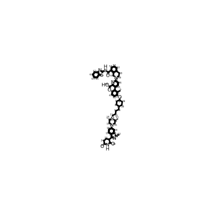 Cc1c(OC2CCC(CCCCN3[C@@H](C)CN(c4ccc5c(C6CCC(=O)NC6=O)nn(C)c5c4)C[C@@H]3C)CC2)cccc1-c1ccc(N2CCc3cccc(C(=O)Nc4nc5ccccc5s4)c3C2)nc1C(=O)O